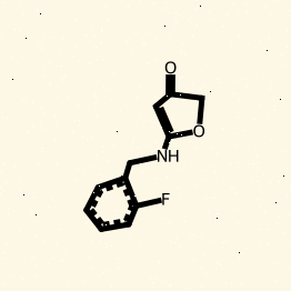 O=C1C=C(NCc2ccccc2F)OC1